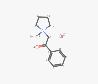 C[N+]1(CC(=O)c2ccccc2)CCCC1.[Br-]